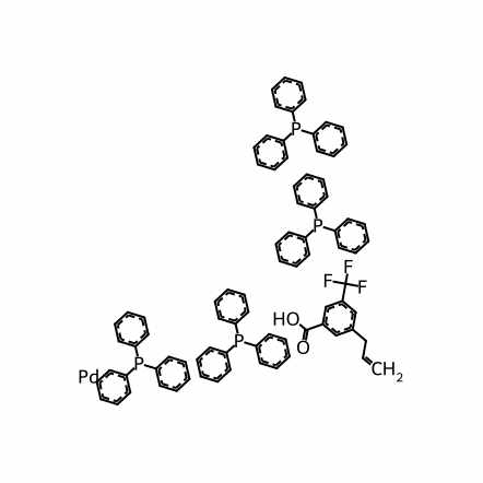 C=CCc1cc(C(=O)O)cc(C(F)(F)F)c1.[Pd].c1ccc(P(c2ccccc2)c2ccccc2)cc1.c1ccc(P(c2ccccc2)c2ccccc2)cc1.c1ccc(P(c2ccccc2)c2ccccc2)cc1.c1ccc(P(c2ccccc2)c2ccccc2)cc1